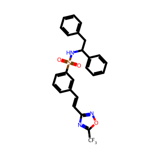 O=S(=O)(NC(Cc1ccccc1)c1ccccc1)c1cccc(C=Cc2noc(C(F)(F)F)n2)c1